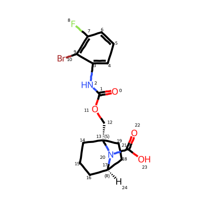 O=C(Nc1cccc(F)c1Br)OC[C@]12CCC[C@H](CC1)N2C(=O)O